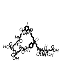 O=C(O)CC[C@H](NC(=O)N[C@@H](CCCCN(C(=O)CCCCNC(=O)c1cc(I)cc(C(=O)NCCNC(=O)CN2CCN(CC(=O)O)CCN(CC(=O)O)CCN(CC(=O)O)CC2)c1)c1ccc(Br)cc1)C(=O)O)C(=O)O